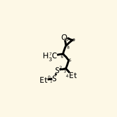 CCSSC(CC)CC(C)C1CO1